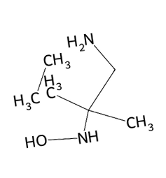 CC.CC(C)(CN)NO